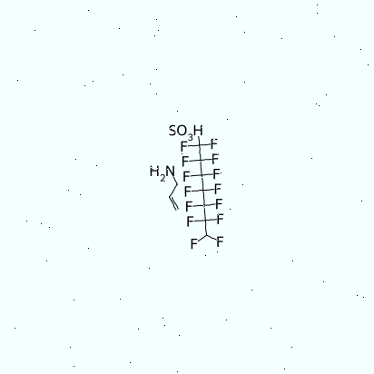 C=CCN.O=S(=O)(O)C(F)(F)C(F)(F)C(F)(F)C(F)(F)C(F)(F)C(F)(F)C(F)F